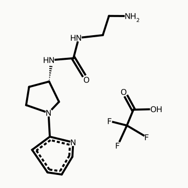 NCCNC(=O)N[C@H]1CCN(c2ccccn2)C1.O=C(O)C(F)(F)F